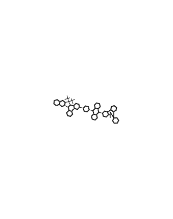 CC(C)(C)C1(C(C)(C)C)c2cc3ccccc3cc2-c2c1c1ccc(-c3ccc(-c4c5ccccc5c(-c5ccc6c(c5)c5ccccc5n6-c5ccccc5)c5ccccc45)cc3)cc1c1ccccc21